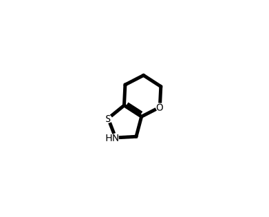 C1COC2=C(C1)SNC2